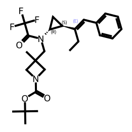 CC/C(=C\c1ccccc1)[C@@H]1C[C@H]1N(CC1(C)CN(C(=O)OC(C)(C)C)C1)C(=O)C(F)(F)F